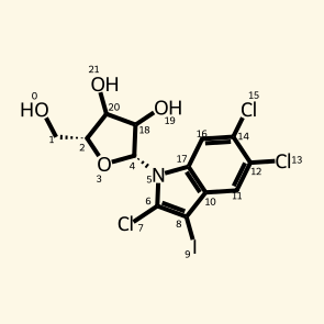 OC[C@H]1O[C@@H](n2c(Cl)c(I)c3cc(Cl)c(Cl)cc32)C(O)C1O